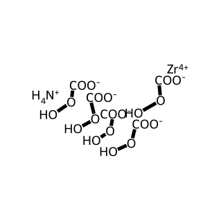 O=C([O-])OO.O=C([O-])OO.O=C([O-])OO.O=C([O-])OO.O=C([O-])OO.[NH4+].[Zr+4]